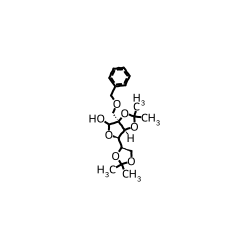 CC1(C)OC[C@H]([C@H]2OC(O)[C@@]3(COCc4ccccc4)OC(C)(C)O[C@@H]23)O1